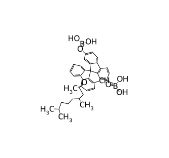 Cc1ccc(C)c(C2(c3ccccc3OCCC(C)CCCC(C)C)c3cc(OB(O)O)ccc3-c3ccc(OB(O)O)cc32)c1